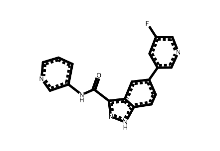 O=C(Nc1cccnc1)c1n[nH]c2ccc(-c3cncc(F)c3)cc12